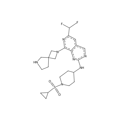 O=S(=O)(C1CC1)N1CCC(Nc2ncc3cc(C(F)F)nc(N4CC5(CCNC5)C4)c3n2)CC1